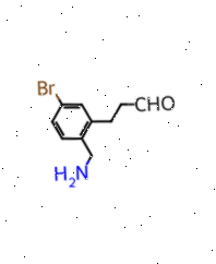 NCc1ccc(Br)cc1CCC=O